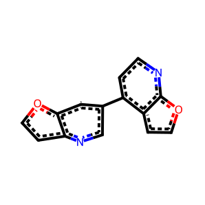 [c]1c(-c2ccnc3occc23)cnc2ccoc12